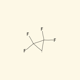 FC1(F)[CH]C1(F)F